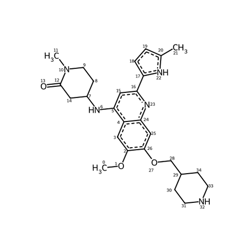 COc1cc2c(NC3CCN(C)C(=O)C3)cc(-c3ccc(C)[nH]3)nc2cc1OCC1CCNCC1